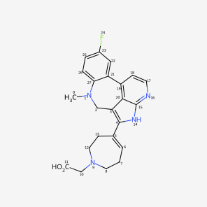 CN1Cc2c(C3=CCCN(CC(=O)O)CC3)[nH]c3nccc(c23)-c2cc(F)ccc21